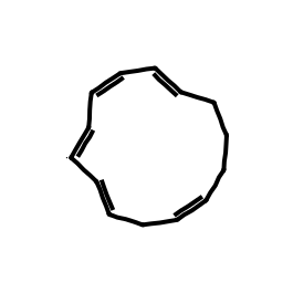 [C]1=C/C=C\C=C\CCC/C=C\C/C=C/1